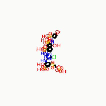 COc1ccc(/N=N/c2c(S(=O)(=O)O)cc3c(S(=O)(=O)O)c(Nc4nc(Cl)nc(Nc5cc(S(=O)(=O)CCOS(=O)(=O)O)cc(S(=O)(=O)O)c5O)n4)ccc3c2O)c(S(=O)(=O)O)c1